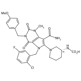 COc1ccc(Cn2c(=O)c3c(c(C(N)=O)c(N4CCC[C@@H](NC(=O)O)C4)n3Cc3cc(F)ccc3Cl)n(C)c2=O)cc1